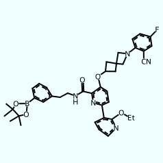 CCOc1ncccc1-c1ccc(OC2CC3(C2)CN(c2ccc(F)cc2C#N)C3)c(C(=O)NCCc2cccc(B3OC(C)(C)C(C)(C)O3)c2)n1